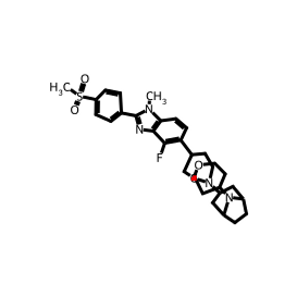 Cn1c(-c2ccc(S(C)(=O)=O)cc2)nc2c(F)c(C3CCN(C4CC5CCC(C4)N5C4CCOCC4)CC3)ccc21